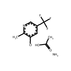 CC(=O)O.Cc1ncc(C(F)(F)F)cc1Cl.N